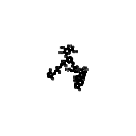 CCN(CO[C@H]1C2[C@H]3O[C@H]3[C@H]3C4=C(CC[C@]3(C)[C@@]23OC3[C@@H]2O[C@@]21C(C)C)C(=O)OC4)C(=O)OCc1ccc(O[C@@H]2OC(C(=O)O)[C@@H](O)C(O)[C@@H]2O)c(NC(=O)CCNC(=O)CCN2C(=O)C=CC2=O)c1